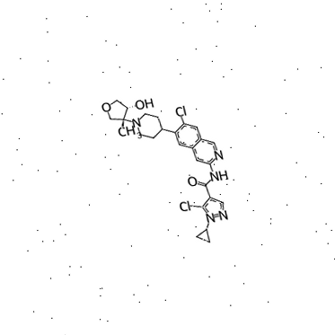 C[C@@]1(N2CCC(c3cc4cc(NC(=O)c5cnn(C6CC6)c5Cl)ncc4cc3Cl)CC2)COC[C@@H]1O